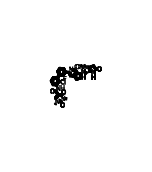 COc1nc(-c2cccc(-c3cccc(NC(=O)c4cn(C)c(=O)n(C)c4=O)c3Cl)c2F)cc2c1[C@@H](NC[C@@H]1CCC(=O)N1)CC2